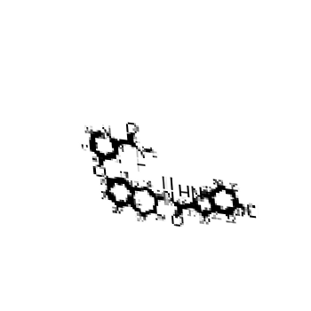 CNC(=O)c1cc(Oc2ccc3c(c2)CC(NC(=O)c2cc4cc(Cl)ccc4[nH]2)CC3)ccn1